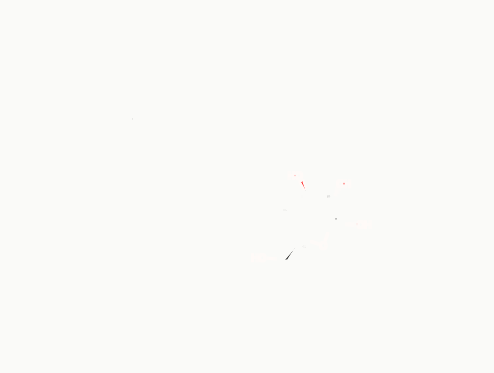 CCCCCCCCS[C@@H]1[C@@H](O)[C@H](O)[C@H](O)O[C@H]1CO